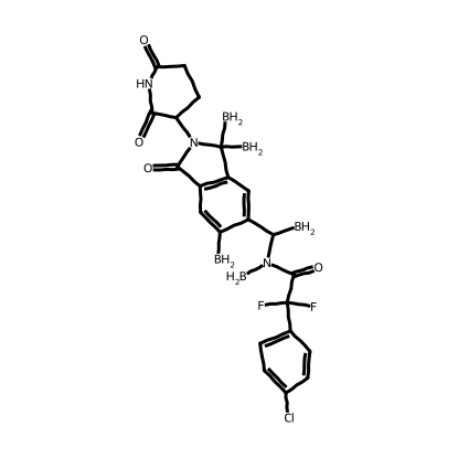 Bc1cc2c(cc1C(B)N(B)C(=O)C(F)(F)c1ccc(Cl)cc1)C(B)(B)N(C1CCC(=O)NC1=O)C2=O